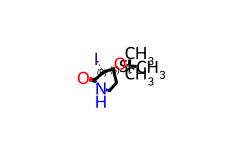 C[Si](C)(C)O[C@H]1CCNC(=O)[C@@H]1I